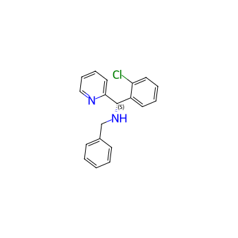 Clc1ccccc1[C@H](NCc1ccccc1)c1ccccn1